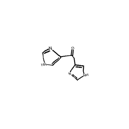 O=C(c1c[nH][c]n1)c1c[nH][c]n1